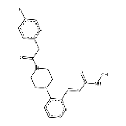 O=C(/C=C/c1ccccc1N1CCN(C(=O)Cc2ccc(F)cc2)CC1)NO